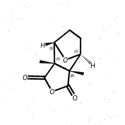 C[C@@]12C(=O)OC(=O)[C@]1(C)[C@@H]1CC[C@@H]2O1